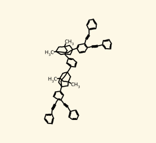 CC12CC3(C)CC(c4cccc(C56CC7(C)CC(C)(C5)CC(c5ccc(C#Cc8ccccc8)c(C#Cc8ccccc8)c5)(C7)C6)c4)(C1)CC(c1ccc(C#Cc4ccccc4)c(C#Cc4ccccc4)c1)(C2)C3